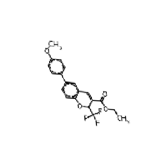 CCOC(=O)C1=Cc2cc(-c3ccc(OC)cc3)ccc2OC1C(F)(F)F